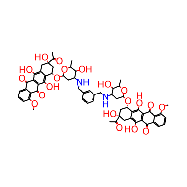 COc1cccc2c1C(=O)c1c(O)c3c(c(O)c1C2=O)C[C@@](O)(C(C)=O)C[C@@H]3OC1CC(NCc2cccc(CNC3CC(O[C@H]4C[C@](O)(C(C)=O)Cc5c(O)c6c(c(O)c54)C(=O)c4c(OC)cccc4C6=O)OC(C)C3O)c2)C(O)C(C)O1